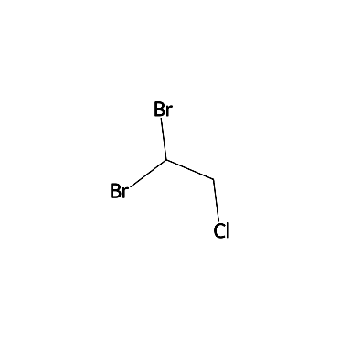 ClCC(Br)Br